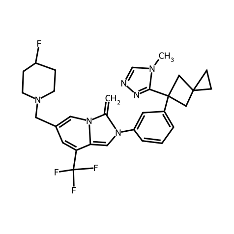 C=C1N2C=C(CN3CCC(F)CC3)C=C(C(F)(F)F)C2=CN1c1cccc(C2(c3nncn3C)CC3(CC3)C2)c1